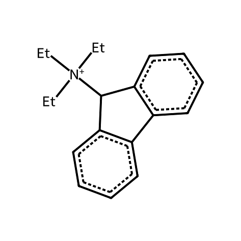 CC[N+](CC)(CC)C1c2ccccc2-c2ccccc21